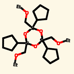 CCOC[Si]1(C2CCCC2)O[Si](COCC)(C2CCCC2)O[Si](COCC)(C2CCCC2)O1